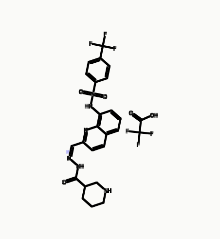 O=C(N/N=C\c1ccc2cccc(NS(=O)(=O)c3ccc(C(F)(F)F)cc3)c2n1)C1CCCNC1.O=C(O)C(F)(F)F